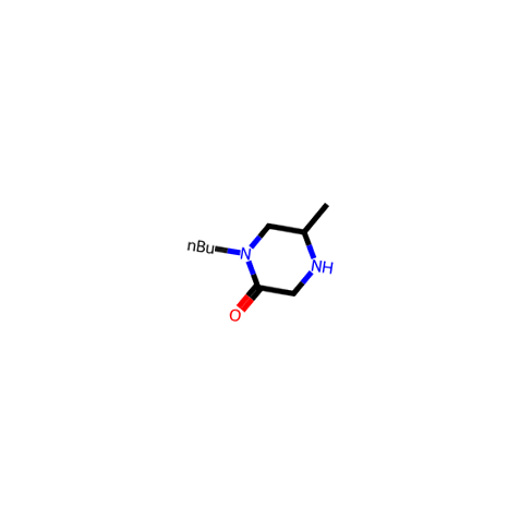 CCCCN1CC(C)NCC1=O